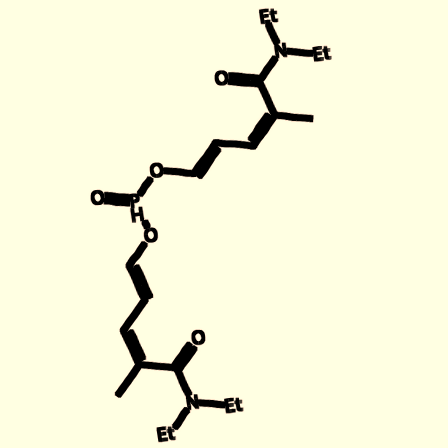 CCN(CC)C(=O)/C(C)=C\C=C\O[PH](=O)O/C=C/C=C(/C)C(=O)N(CC)CC